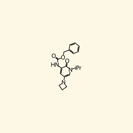 CC(C)n1cc(N2CCC2)cc(NC(=O)OCc2ccccc2)c1=O